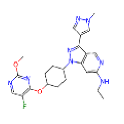 CCNc1cc2c(cn1)c(-c1cnn(C)c1)nn2C1CCC(Oc2nc(OC)ncc2F)CC1